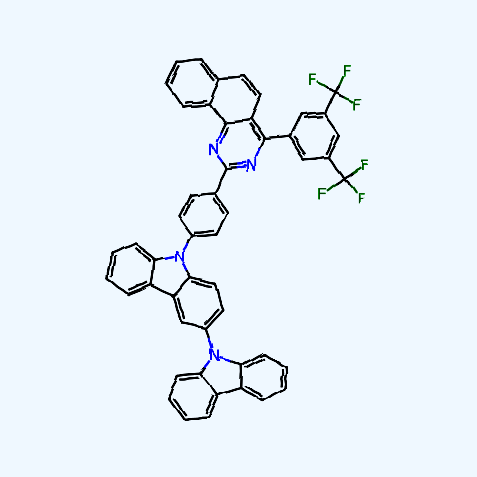 FC(F)(F)c1cc(-c2nc(-c3ccc(-n4c5ccccc5c5cc(-n6c7ccccc7c7ccccc76)ccc54)cc3)nc3c2ccc2ccccc23)cc(C(F)(F)F)c1